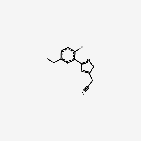 CCc1ccc(F)c(C2=NCC(CC#N)=C2)c1